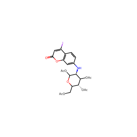 CC(=O)OCC1OC(OC(C)=O)[C@@H](Nc2ccc3c(I)cc(=O)oc3c2)C(OC(C)=O)[C@@H]1OC(C)=O